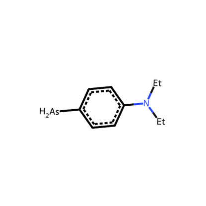 CCN(CC)c1ccc([AsH2])cc1